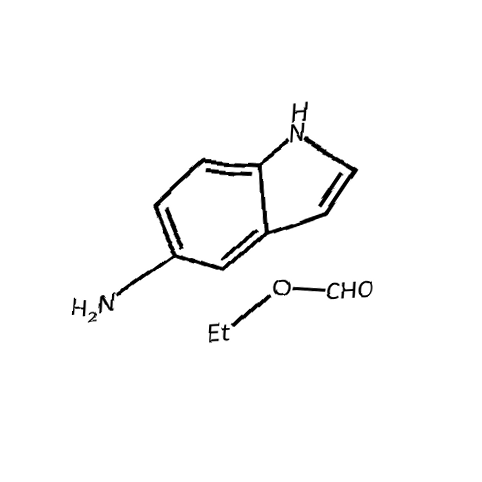 CCOC=O.Nc1ccc2[nH]ccc2c1